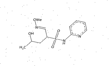 CON=CC(CC(C)O)S(=O)(=O)Nc1ccccn1